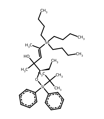 CCC[CH2][Sn]([CH2]CCC)([CH2]CCC)/[C](C)=C/C(C)(O)[C@@H](CC)O[Si](c1ccccc1)(c1ccccc1)C(C)(C)C